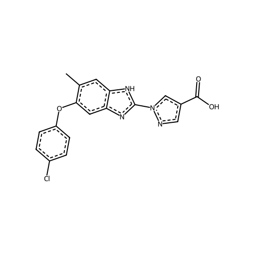 Cc1cc2[nH]c(-n3cc(C(=O)O)cn3)nc2cc1Oc1ccc(Cl)cc1